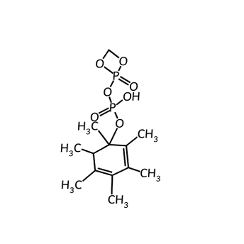 CC1=C(C)C(C)C(C)(OP(=O)(O)OP2(=O)OCO2)C(C)=C1C